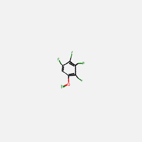 FOc1[c]c(F)c(F)c(F)c1F